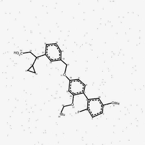 COc1ccc(F)c(-c2ccc(OCc3cccc(C(CC(=O)O)C4CC4)c3)cc2OCC(C)(C)C)c1